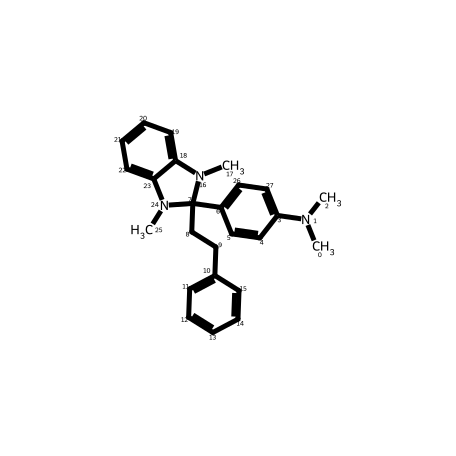 CN(C)c1ccc(C2(CCc3ccccc3)N(C)c3ccccc3N2C)cc1